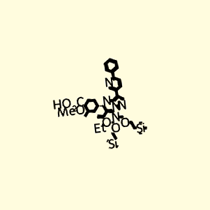 C=C(OCC)c1c([C@H]2CC[C@@](OC)(C(=O)O)C(C)C2)nc2c(-c3ccc(-c4ccccc4)nc3)cnn2c1N(COCC[Si](C)(C)C)COCC[Si](C)(C)C